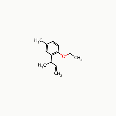 C=C[C](C)c1cc(C)ccc1OCC